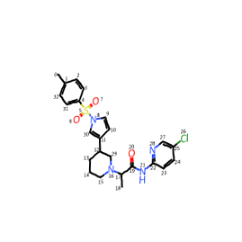 Cc1ccc(S(=O)(=O)n2ccc(C3CCCN(C(C)C(=O)Nc4ccc(Cl)cn4)C3)c2)cc1